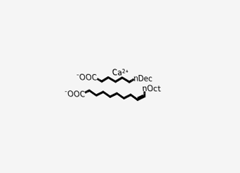 CCCCCCCC/C=C\CCCCCCCC(=O)[O-].CCCCCCCCCCCCCCCC(=O)[O-].[Ca+2]